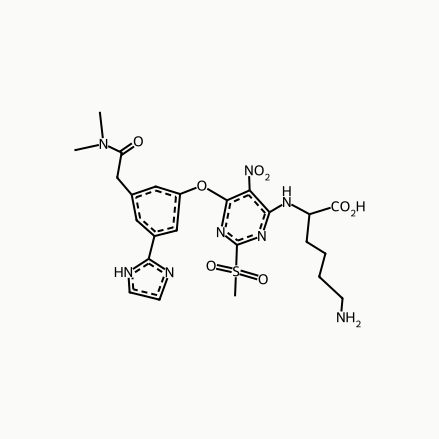 CN(C)C(=O)Cc1cc(Oc2nc(S(C)(=O)=O)nc(NC(CCCCN)C(=O)O)c2[N+](=O)[O-])cc(-c2ncc[nH]2)c1